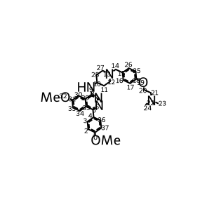 COc1ccc(-c2nnc(NC3CCN(Cc4ccc(OCCN(C)C)cc4)CC3)c3cc(OC)ccc23)cc1